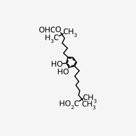 CC(C)(CCCCc1ccc(CCCCCCC(C)(C)C(=O)O)c(O)c1O)OC=O